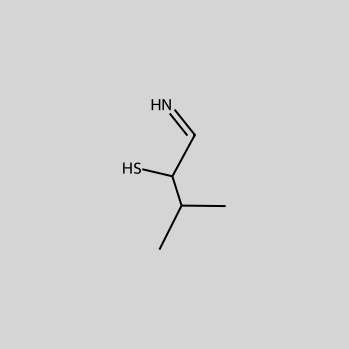 CC(C)C(S)C=N